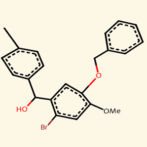 COc1cc(Br)c(C(O)c2ccc(C)cc2)cc1OCc1ccccc1